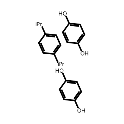 CC(C)c1ccc(C(C)C)cc1.Oc1ccc(O)cc1.Oc1ccc(O)cc1